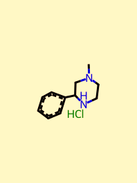 CN1CCNC(c2ccccc2)C1.Cl